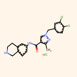 Cc1nn(Cc2ccc(Cl)c(Cl)c2)cc1C(=O)Nc1ccc2c(c1)CCNC2.Cl